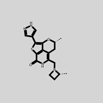 C[C@@H]1Cc2c(CN3CC[C@H]3C)[nH]c(=O)c3sc(-c4cn[nH]c4)c(c23)O1